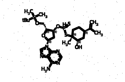 C=C(C)[C@@H]1CC[C@](C)(S[PH](=S)O[C@H]2C[C@H](n3cnc4c(N)ncnc43)O[C@@H]2CO[Si](C)(C)C(C)(C)C)[C@@H](O)C1